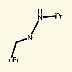 CCCC[N]NC(C)C